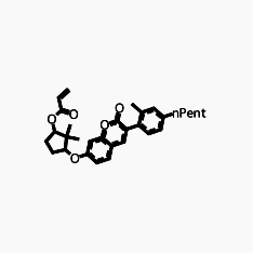 C=CC(=O)OC1CCC(Oc2ccc3cc(-c4ccc(CCCCC)cc4C)c(=O)oc3c2)C1(C)C